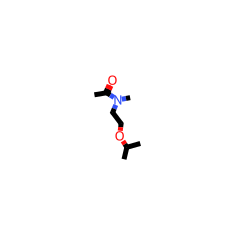 CC(=O)N(C)CCOC(C)C